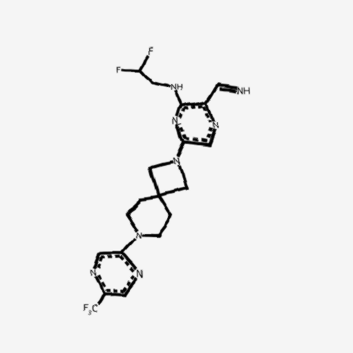 N=Cc1ncc(N2CC3(CCN(c4cnc(C(F)(F)F)cn4)CC3)C2)nc1NCC(F)F